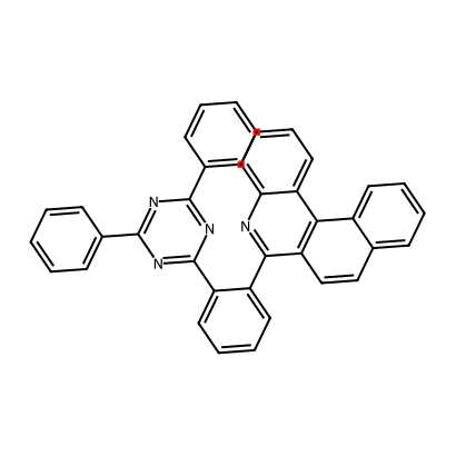 c1ccc(-c2nc(-c3ccccc3)nc(-c3ccccc3-c3nc4ccccc4c4c3ccc3ccccc34)n2)cc1